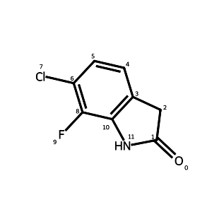 O=C1Cc2ccc(Cl)c(F)c2N1